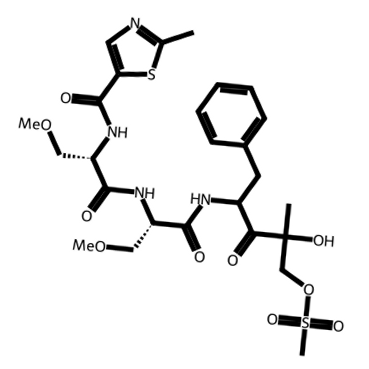 COC[C@H](NC(=O)c1cnc(C)s1)C(=O)N[C@@H](COC)C(=O)NC(Cc1ccccc1)C(=O)C(C)(O)COS(C)(=O)=O